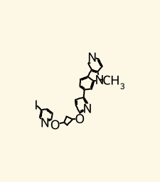 Cn1c2ccncc2c2ccc(-c3ccc(OC4CC(Oc5ccc(I)cn5)C4)nc3)cc21